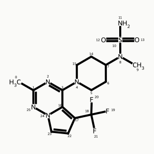 Cc1nc(N2CCC(N(C)S(N)(=O)=O)CC2)c2c(C(F)(F)F)ccn2n1